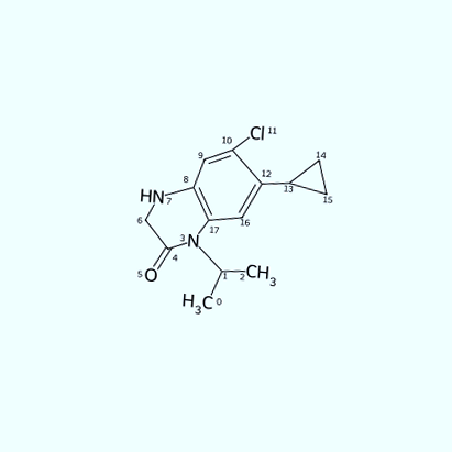 CC(C)N1C(=O)CNc2cc(Cl)c(C3CC3)cc21